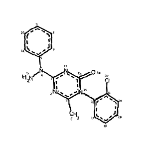 Cc1nc(N(N)c2ccccc2)nc(=O)n1-c1ccccc1Cl